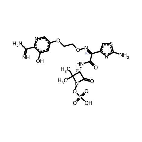 CC1(C)[C@H](NC(=O)/C(=N\OCCOc2cnc(C(=N)N)c(O)c2)c2csc(N)n2)C(=O)N1OS(=O)(=O)O